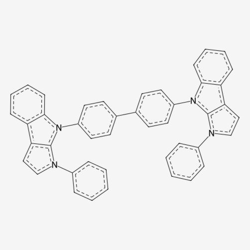 c1ccc(-n2ccc3c4ccccc4n(-c4ccc(-c5ccc(-n6c7ccccc7c7ccn(-c8ccccc8)c76)cc5)cc4)c32)cc1